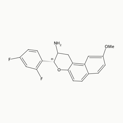 COc1ccc2ccc3c(c2c1)CC(N)[C@@H](c1ccc(F)cc1F)O3